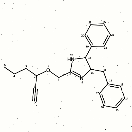 C#CC(CCC)OCC1=NC(Cc2ccccc2)C(c2ccccc2)N1